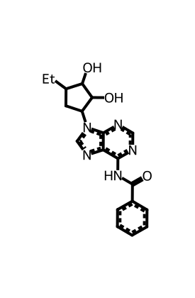 CCC1CC(n2cnc3c(NC(=O)c4ccccc4)ncnc32)C(O)C1O